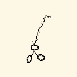 OCCOCCOCCOc1ccc(P(c2ccccc2)c2ccccc2)cc1